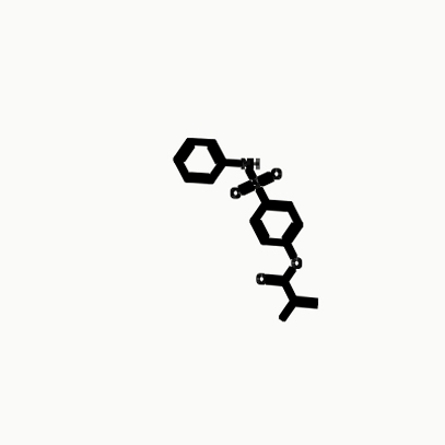 C=C(C)C(=O)Oc1ccc(S(=O)(=O)Nc2ccccc2)cc1